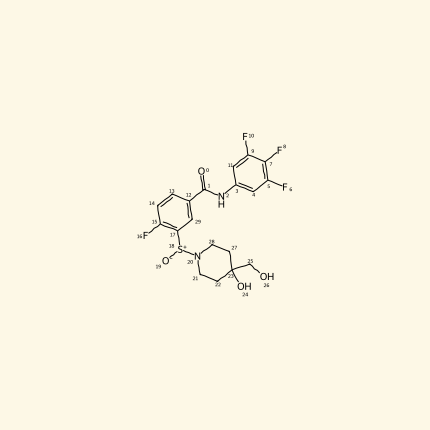 O=C(Nc1cc(F)c(F)c(F)c1)c1ccc(F)c([S+]([O-])N2CCC(O)(CO)CC2)c1